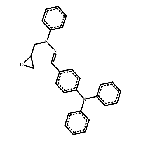 C(=NN(CC1CO1)c1ccccc1)c1ccc(N(c2ccccc2)c2ccccc2)cc1